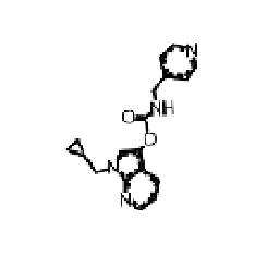 O=C(NCc1ccncc1)Oc1cn(CC2CC2)c2ncccc12